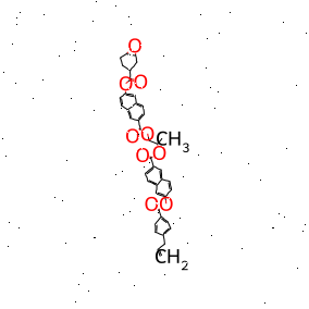 C=CCc1ccc(C(=O)Oc2ccc3cc(C(=O)OC(C)COC(=O)c4ccc5cc(OC(=O)C6CCC7OC7C6)ccc5c4)ccc3c2)cc1